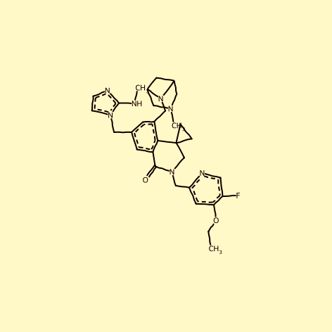 CCOc1cc(CN2CC3(CC3)c3c(CN4C5CC4CN(C)C5)cc(Cn4ccnc4NC)cc3C2=O)ncc1F